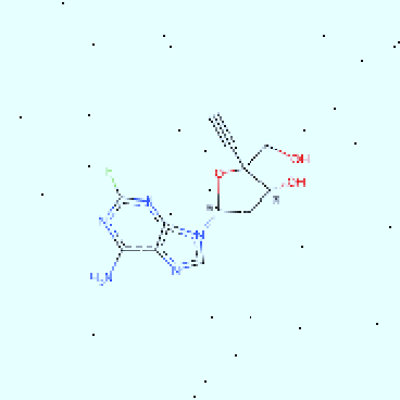 C#CC1(CO)O[C@@H](n2cnc3c(N)nc(F)nc32)C[C@H]1O